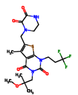 COC(C)(C)Cn1c(=O)c2c(C)c(CN3CCNC(=O)C3=O)sc2n(CCC(F)(F)F)c1=O